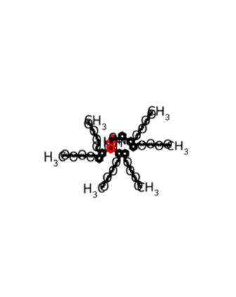 COCCOCCOCCOCc1cccc2cc(-c3cccc([C@@H]4CC5C[C@@H](c6cccc(-c7cc(COCCOCCOCCOC)c8c(COCCOCCOCCOC)cccc8c7)n6)C4[C@H](c4cccc(-c6cc(COCCOCCOCCOC)c7c(COCCOCCOCCOC)cccc7c6)n4)C5)n3)cc(COCCOCCOCCOC)c12